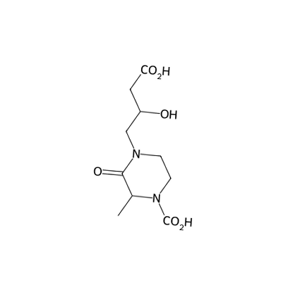 CC1C(=O)N(CC(O)CC(=O)O)CCN1C(=O)O